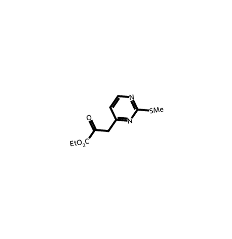 CCOC(=O)C(=O)Cc1ccnc(SC)n1